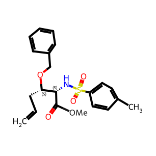 C=CC[C@H](OCc1ccccc1)[C@H](NS(=O)(=O)c1ccc(C)cc1)C(=O)OC